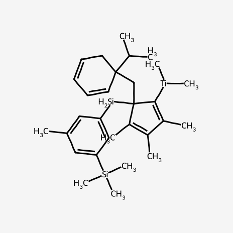 CC1=C(C)C(CC2(C(C)C)C=CC=CC2)([SiH2]c2cc(C)cc([Si](C)(C)C)c2)[C]([Ti]([CH3])[CH3])=C1C